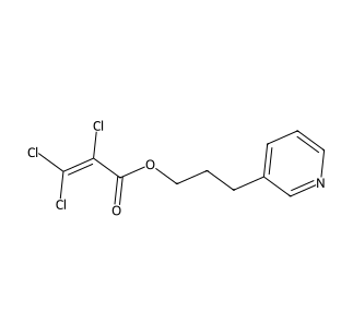 O=C(OCCCc1cccnc1)C(Cl)=C(Cl)Cl